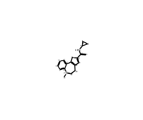 C=C(NC1CC1)C1=CC2=C(C1)c1ccccc1N(C)CC2